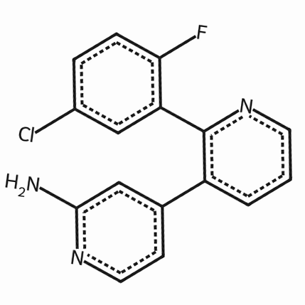 Nc1cc(-c2cccnc2-c2cc(Cl)ccc2F)ccn1